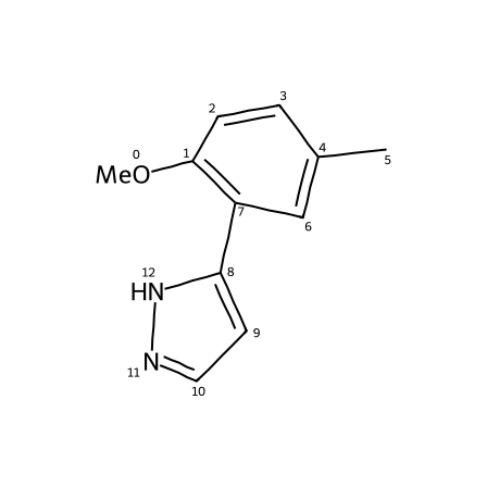 COc1ccc(C)cc1-c1ccn[nH]1